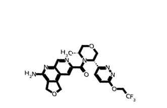 C[C@@H]1COC[C@H](c2ccc(OCC(F)(F)F)nn2)N1C(=O)c1cc2c3c(c(N)nc2cn1)COC3